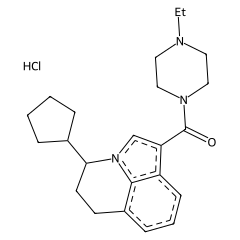 CCN1CCN(C(=O)c2cn3c4c(cccc24)CCC3C2CCCC2)CC1.Cl